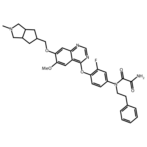 COc1cc2c(Oc3ccc(N(CCc4ccccc4)C(=O)C(N)=O)cc3F)ncnc2cc1OCC1CC2CN(C)CC2C1